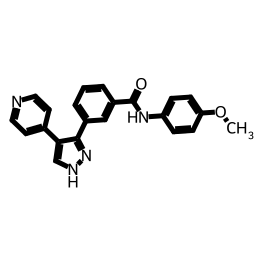 COc1ccc(NC(=O)c2cccc(-c3n[nH]cc3-c3ccncc3)c2)cc1